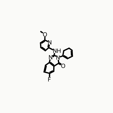 COc1cccc(Nc2nc3ccc(F)cc3c(=O)n2C2=CC=CCC2)n1